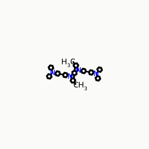 Cc1ccc2c(c1)c1cc3c(cc1n2-c1ccc(-c2ccc(N(c4ccccc4)c4ccccc4)cc2)cc1)c1cc(C)ccc1n3-c1ccc(-c2ccc(N(c3ccccc3)c3ccccc3)cc2)cc1